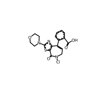 O=C(O)c1ccccc1C1=CCN(Cl)C(=O)c2sc(N3CCOCC3)nc21